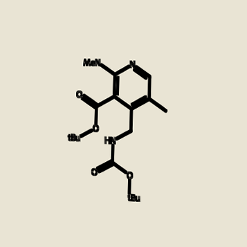 CNc1ncc(C)c(CNC(=O)OC(C)(C)C)c1C(=O)OC(C)(C)C